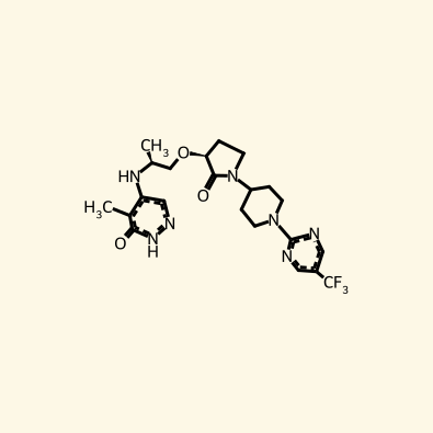 Cc1c(N[C@@H](C)CO[C@H]2CCN(C3CCN(c4ncc(C(F)(F)F)cn4)CC3)C2=O)cn[nH]c1=O